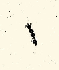 CCc1cc(F)c(OCC2CCC(c3ccc(-c4cc(F)c(F)c(F)c4)cc3)OC2)c(F)c1